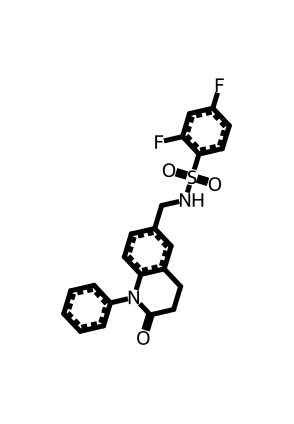 O=C1CCc2cc(CNS(=O)(=O)c3ccc(F)cc3F)ccc2N1c1ccccc1